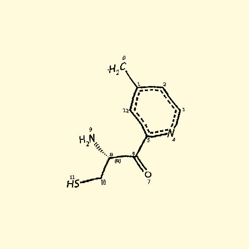 [CH2]c1ccnc(C(=O)[C@@H](N)CS)c1